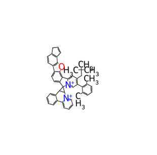 Cc1cccc(C)c1-c1c[n+]2c(cc1CC(C)(C)C)-c1c(ccc3c1oc1c4c(ccc13)CC=C4)C21C2c3ccccc3-c3cccc[n+]3C21